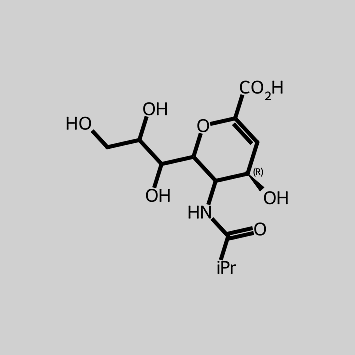 CC(C)C(=O)NC1C(C(O)C(O)CO)OC(C(=O)O)=C[C@H]1O